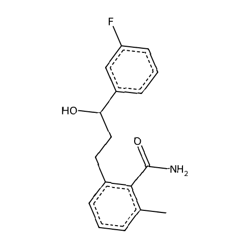 Cc1cccc(CCC(O)c2cccc(F)c2)c1C(N)=O